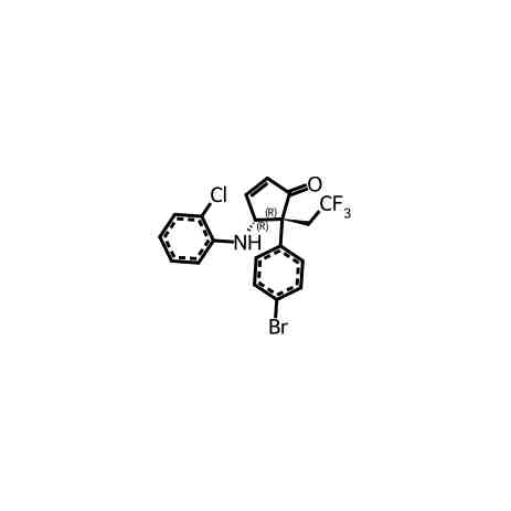 O=C1C=C[C@@H](Nc2ccccc2Cl)[C@@]1(CC(F)(F)F)c1ccc(Br)cc1